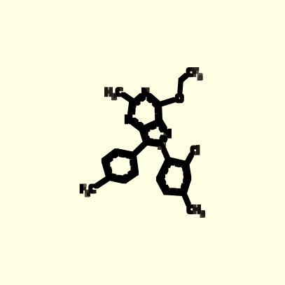 Cc1ccc(-n2nc3c(OCC(F)(F)F)nc(C)nc3c2-c2ccc(C(F)(F)F)cc2)c(Cl)c1